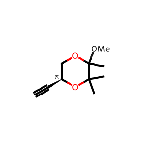 C#C[C@H]1COC(C)(OC)C(C)(C)O1